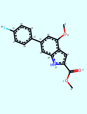 COC(=O)c1cc2c(OC)cc(-c3ccc(F)cc3)cc2[nH]1